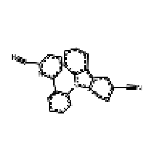 N#Cc1ccc2c(c1)c1ccccc1n2-c1ccccc1-c1cccc(C#N)n1